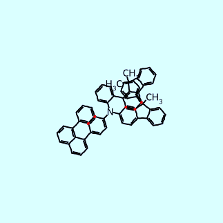 CC1(C)c2ccccc2-c2cccc(-c3ccccc3N(c3ccc(-c4cccc5cccc(-c6ccccc6)c45)cc3)c3ccc4c(c3)C(C)(c3ccccc3)c3ccccc3-4)c21